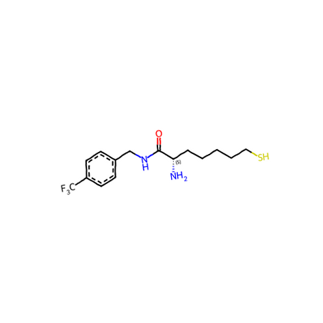 N[C@@H](CCCCCS)C(=O)NCc1ccc(C(F)(F)F)cc1